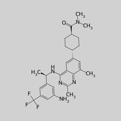 Cc1nc(N[C@H](C)c2cc(N)cc(C(F)(F)F)c2)c2cc([C@H]3CC[C@H](C(=O)N(C)C)CC3)cc(C)c2n1